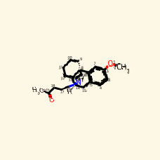 COc1ccc2c(c1)[C@]13CCCC[C@@H]1[C@H](C2)N(CCC(C)=O)CC3